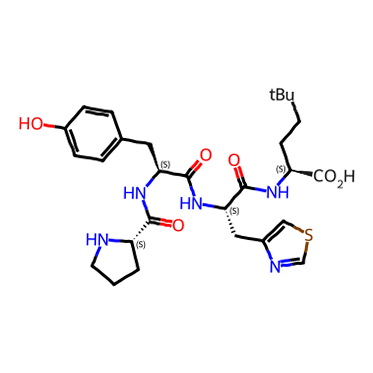 CC(C)(C)CC[C@H](NC(=O)[C@H](Cc1cscn1)NC(=O)[C@H](Cc1ccc(O)cc1)NC(=O)[C@@H]1CCCN1)C(=O)O